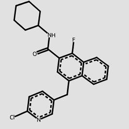 O=C(NC1CCCCC1)c1cc(Cc2ccc(Cl)nc2)c2ccccc2c1F